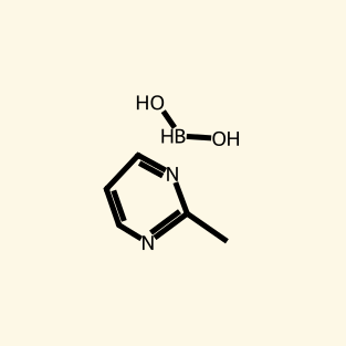 Cc1ncccn1.OBO